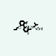 CCCOc1cccc(F)c1-c1ccc(F)c(CN[C@@H](CO)C(C)C)n1